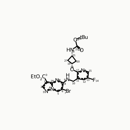 CCOC(=O)c1cnn2cc(Br)c(NCc3cc(F)cnc3O[C@H]3C[C@@H](NC(=O)OC(C)(C)C)C3)nc12